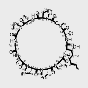 C/C=C/C[C@@H](C)[C@@H](O)[C@H]1C(=O)N[C@@H](CC)C(=O)N(C)CC(=O)N(C)C(CC(C)C)C(=O)N[C@@H](C(C)C)C(=O)N(C)[C@@H](CC(C)C)C(=O)N[C@@H](C)C(=O)N[C@H](C)C(=O)N(C)[C@@H](CC(C)C)C(=O)N(C)[C@@H](CC(C)C)C(=O)N(C)[C@@H](C(C)C)C(=O)N1C